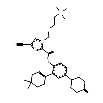 CC1(C)CC=C(c2cc(C3CCC(=O)CC3)ccc2NC(=O)c2nc(C#N)cn2COCC[Si](C)(C)C)CC1